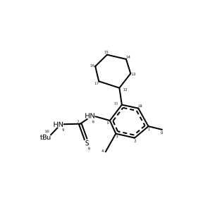 Cc1cc(C)c(NC(=S)NC(C)(C)C)c(C2CCCCC2)c1